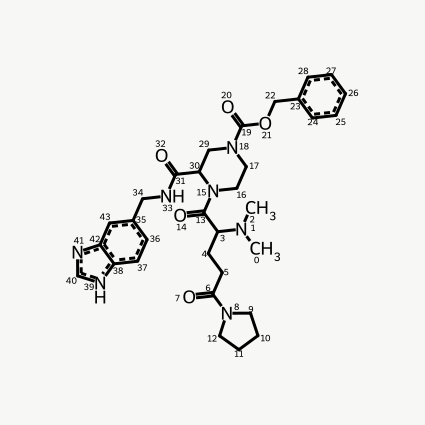 CN(C)C(CCC(=O)N1CCCC1)C(=O)N1CCN(C(=O)OCc2ccccc2)CC1C(=O)NCc1ccc2[nH]cnc2c1